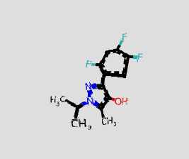 Cc1c(O)c(-c2cc(F)c(F)cc2F)nn1C(C)C